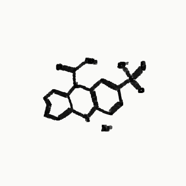 COC(=O)N1c2ccccc2Sc2ccc(S(=O)(=O)[O-])cc21.[Na+]